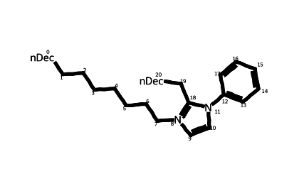 CCCCCCCCCCCCCCCCC[n+]1ccn(-c2ccccc2)c1CCCCCCCCCCC